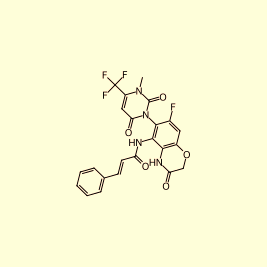 Cn1c(C(F)(F)F)cc(=O)n(-c2c(F)cc3c(c2NC(=O)C=Cc2ccccc2)NC(=O)CO3)c1=O